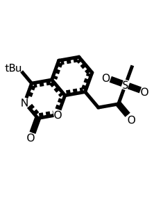 CC(C)(C)c1nc(=O)oc2c(CC(=O)S(C)(=O)=O)cccc12